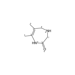 CC1=C(C)NC(=O)CNC1